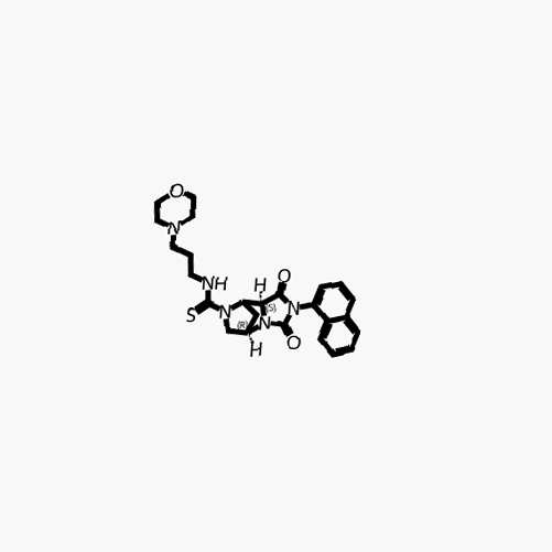 O=C1[C@@H]2C3C[C@H](CN3C(=S)NCCCN3CCOCC3)N2C(=O)N1c1cccc2ccccc12